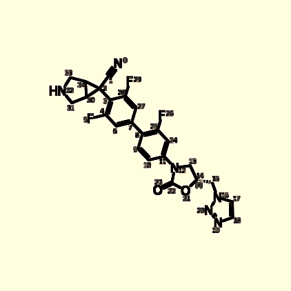 N#CC1(c2c(F)cc(-c3ccc(N4C[C@H](Cn5ccnn5)OC4=O)cc3F)cc2F)C2CNCC21